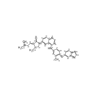 Cc1cc(Nc2ncnc3ccc(N4CC(C)/C(=C\CN(C)C)C4=O)nc23)ccc1Oc1ccn2ncnc2c1